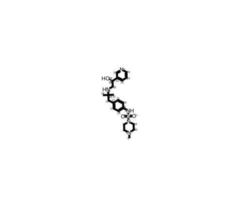 CN1CCN(S(=O)(=O)Nc2ccc(CC(C)(C)NC[C@@H](O)c3cccnc3)cc2)CC1